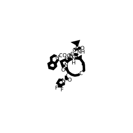 O=C1N[C@]2(C(=O)NS(=O)(=O)C3CC3)CC2C=CCCCCC[C@H](CC(=O)N2CCC(F)(F)C2)C(=O)N2C[C@H](C3c4ccccc4CCN3C(=O)O)C[C@@H]12